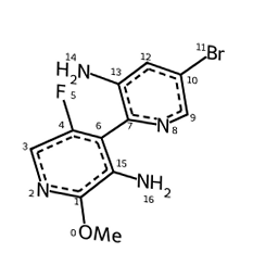 COc1ncc(F)c(-c2ncc(Br)cc2N)c1N